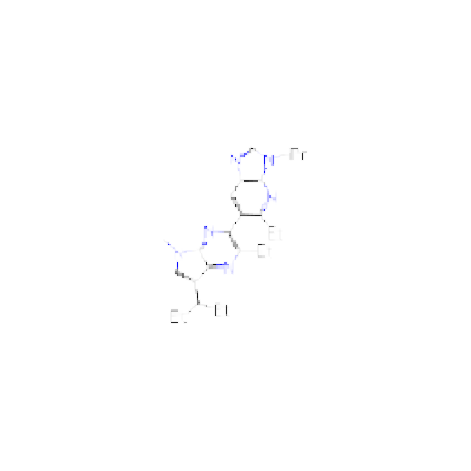 CCc1nc2c(cc1-c1nc3c(nc1CC)c(C(CC)CC)cn3C)ncn2C(C)C